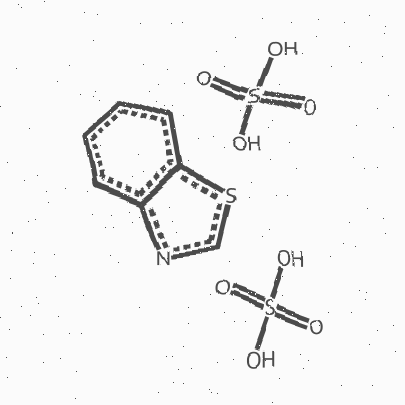 O=S(=O)(O)O.O=S(=O)(O)O.c1ccc2scnc2c1